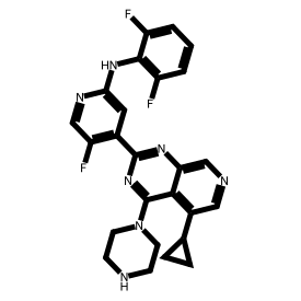 Fc1cnc(Nc2c(F)cccc2F)cc1-c1nc(N2CCNCC2)c2c(C3CC3)cncc2n1